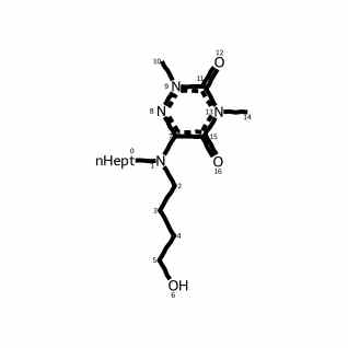 CCCCCCCN(CCCCO)c1nn(C)c(=O)n(C)c1=O